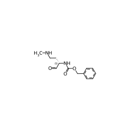 CNCC[C@@H](C=O)NC(=O)OCc1ccccc1